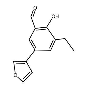 CCc1cc(-c2ccoc2)cc(C=O)c1O